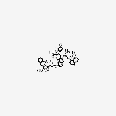 COc1ccccc1C[C@@H](NC(=O)CCCOc1ccc2c(c1)C1(CCC(Nc3cccc(Cl)c3)(C(=O)O)CC1)[C@@H](C[C@@H](C)COc1ccnc3c1[C@H](C)CCC3)C2)C(=O)O